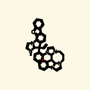 C=CC1(c2ccccc2N2C=CN3CCCN4C=CN5c6ccccc6C(C45)C32)c2ccc3c(oc4ccccc43)c2N2C=CN(C)C21